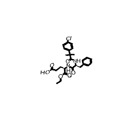 CCOC(=O)[C@@H](CCC(=O)O)NC(=O)[C@H](Cc1ccccc1)NC(=O)C(C)(C)c1ccc(Cl)cc1